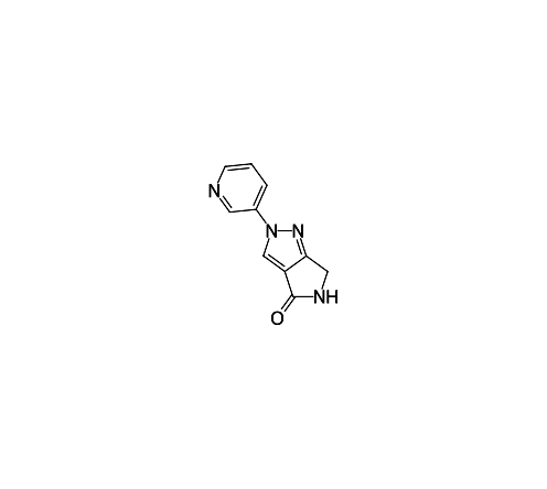 O=C1NCc2nn(-c3cccnc3)cc21